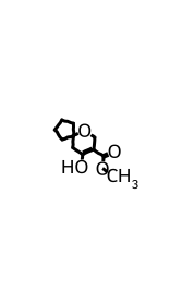 COC(=O)C1=C(O)CC2(CCCC2)OC1